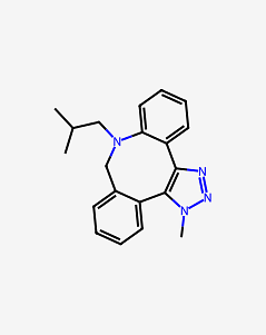 CC(C)CN1Cc2ccccc2-c2c(nnn2C)-c2ccccc21